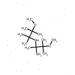 COC(C)(C)C(C)([SiH3])NC(C)([SiH3])C(C)(C)OC